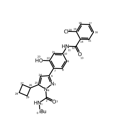 CCC(C)NC(=O)n1nc(-c2ccc(NC(=O)c3ccccc3Cl)cc2O)cc1C1CCC1